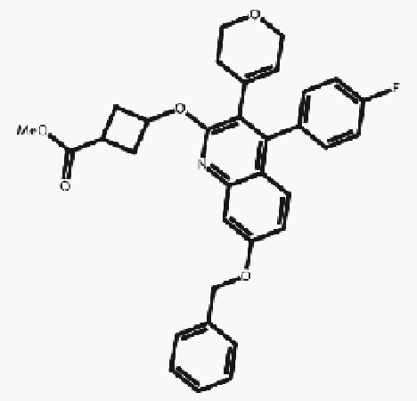 COC(=O)C1CC(Oc2nc3cc(OCc4ccccc4)ccc3c(-c3ccc(F)cc3)c2C2=CCOCC2)C1